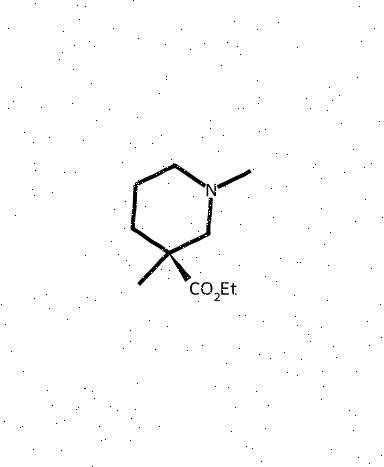 CCOC(=O)[C@@]1(C)CCCN(C)C1